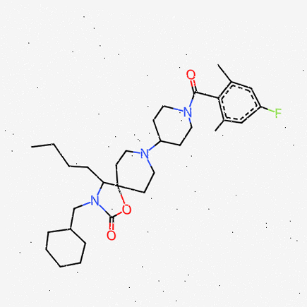 CCCCC1N(CC2CCCCC2)C(=O)OC12CCN(C1CCN(C(=O)c3c(C)cc(F)cc3C)CC1)CC2